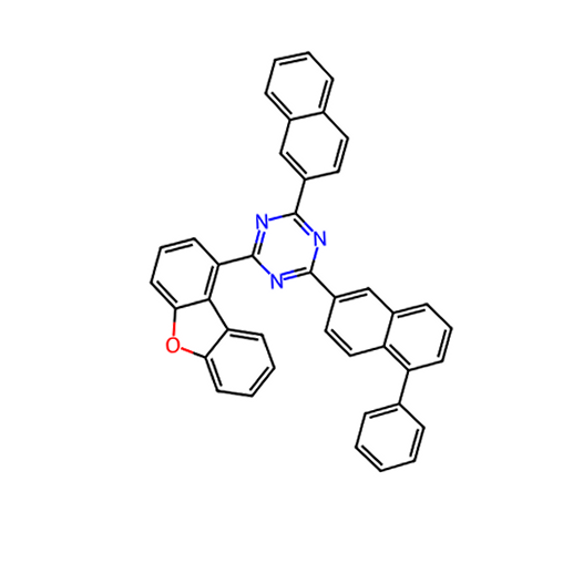 c1ccc(-c2cccc3cc(-c4nc(-c5ccc6ccccc6c5)nc(-c5cccc6oc7ccccc7c56)n4)ccc23)cc1